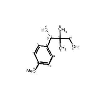 COc1ccc([C@H](O)C(C)(C)CO)cc1